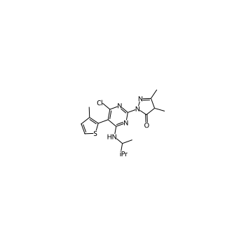 CC1=NN(c2nc(Cl)c(-c3sccc3C)c(NC(C)C(C)C)n2)C(=O)C1C